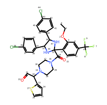 CCOc1cc(C(F)(F)F)ccc1C1(C(=O)N2CCN(C(C=O)c3cccs3)CC2)NC(c2ccc(Cl)cc2)C(c2ccc(Cl)cc2)N1